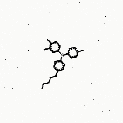 CCCCCc1ccc(N(c2ccc(C)cc2)c2ccc(C)c(C)c2)cc1